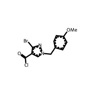 COc1ccc(Cn2cc(C(=O)Cl)c(Br)n2)cc1